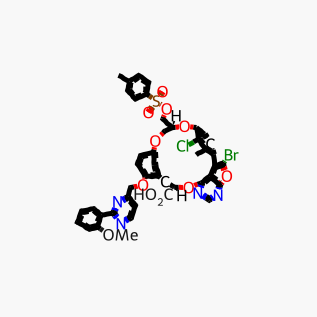 COc1ccccc1-c1nccc(COc2ccc3cc2C[C@H](C(=O)O)Oc2ncnc4oc(Br)c(c24)-c2ccc(c(Cl)c2C)O[C@H](COS(=O)(=O)c2ccc(C)cc2)CO3)n1